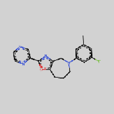 Cc1cc(F)cc(N2CCCc3oc(-c4cnccn4)nc3C2)c1